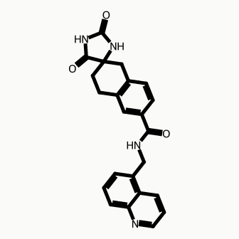 O=C1NC(=O)C2(CCc3cc(C(=O)NCc4cccc5ncccc45)ccc3C2)N1